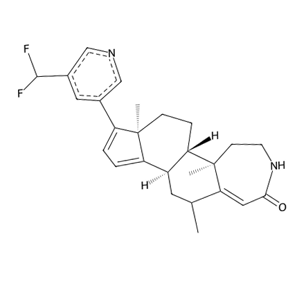 CC1C[C@H]2C3=CC=C(c4cncc(C(F)F)c4)[C@@]3(C)CC[C@@H]2[C@@]2(C)CCNC(=O)C=C12